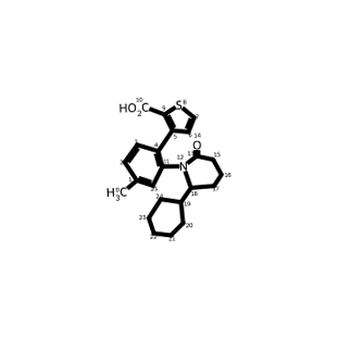 Cc1ccc(-c2ccsc2C(=O)O)c(N2C(=O)CCCC2C2CCCCC2)c1